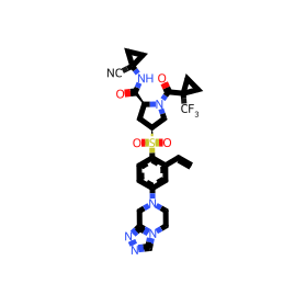 C=Cc1cc(N2CCn3cnnc3C2)ccc1S(=O)(=O)[C@@H]1C[C@@H](C(=O)NC2(C#N)CC2)N(C(=O)C2(C(F)(F)F)CC2)C1